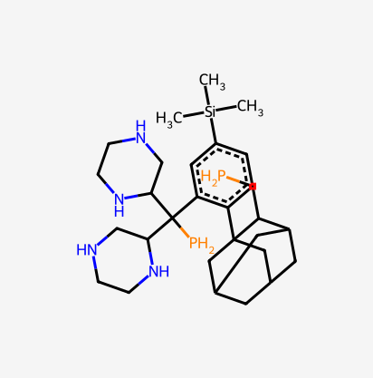 C[Si](C)(C)c1ccc(C23CC4CC(CC(C4)C2CP)C3)c(C(P)(C2CNCCN2)C2CNCCN2)c1